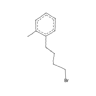 Cc1ccccc1CCCCBr